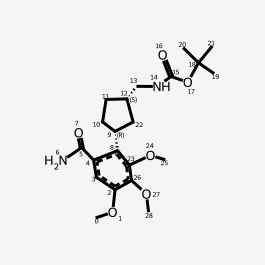 COc1cc(C(N)=O)c([C@@H]2CC[C@H](CNC(=O)OC(C)(C)C)C2)c(OC)c1OC